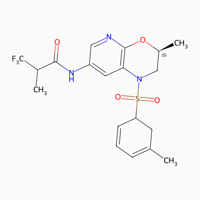 CC1=CC=CC(S(=O)(=O)N2C[C@H](C)Oc3ncc(NC(=O)C(C)C(F)(F)F)cc32)C1